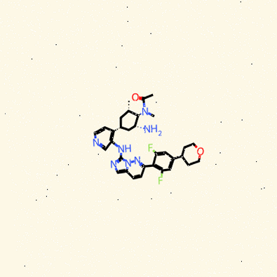 CC(=O)N(C)[C@@H]1[C@H](N)C[C@H](c2ccncc2Nc2ncc3ccc(-c4c(F)cc(C5CCOCC5)cc4F)nn23)C[C@@H]1C